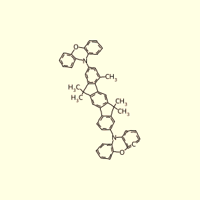 Cc1cc(N2c3ccccc3Oc3ccccc32)cc2c1-c1cc3c(cc1C2(C)C)-c1ccc(N2c4ccccc4Oc4ccccc42)cc1C3(C)C